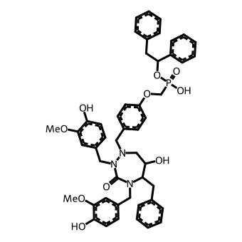 COc1cc(CN2C(=O)N(Cc3ccc(O)c(OC)c3)N(Cc3ccc(OCP(=O)(O)OC(Cc4ccccc4)c4ccccc4)cc3)CC(O)C2Cc2ccccc2)ccc1O